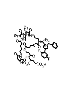 CC(C)[C@@H](NC(=O)CCCCCN1C(=O)C=CC1=O)C(=O)N[C@H](C)C(=O)NCCCN(C(=O)CSCCC(=O)NCCC(=O)N[C@H](CCC(=O)O)C(=O)O)[C@@H](c1cc(-c2cc(F)ccc2F)cn1Cc1ccccc1)C(C)(C)C